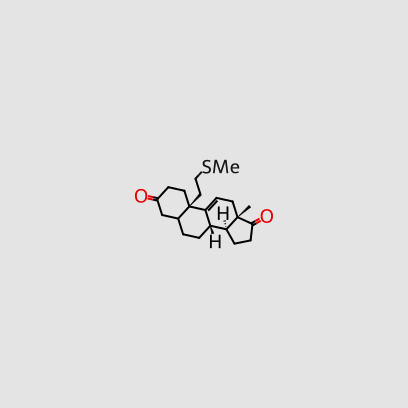 CSCC[C@]12CCC(=O)CC1CC[C@@H]1C2=CC[C@]2(C)C(=O)CC[C@@H]12